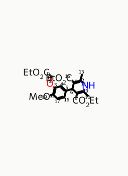 CCOC(=O)COc1cc(C2C(C(=O)OCC)=C(C)NC(C)=C2C(=O)OCC)ccc1OC